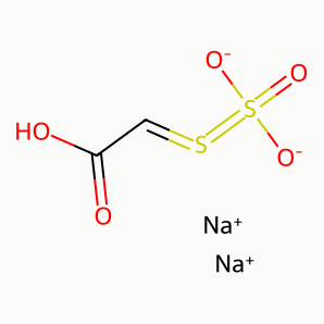 O=C(O)C=S=S(=O)([O-])[O-].[Na+].[Na+]